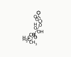 CC(C)CC(C(=O)OCCC(O)C(O)CCOC1=CC2OC(=O)C(c3ccccc3)=CC2C=C1)C(C)C